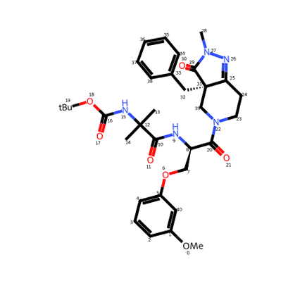 COc1cccc(OC[C@@H](NC(=O)C(C)(C)NC(=O)OC(C)(C)C)C(=O)N2CCC3=NN(C)C(=O)[C@]3(Cc3ccccc3)C2)c1